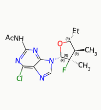 CC[C@H]1O[C@@H](n2cnc3c(Cl)nc(NC(C)=O)nc32)[C@](C)(F)[C@@H]1C